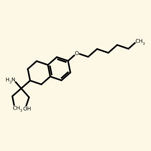 CCCCCCOc1ccc2c(c1)CCC(C(N)(CC)CO)C2